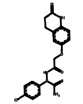 NC(=S)N(NC(=O)COc1ccc2c(c1)CCC(=O)N2)c1ccc(Cl)cc1